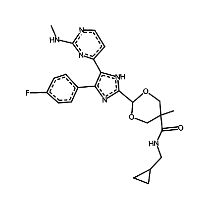 CNc1nccc(-c2[nH]c(C3OCC(C)(C(=O)NCC4CC4)CO3)nc2-c2ccc(F)cc2)n1